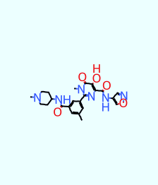 Cc1cc(C(=O)NC2CCN(C)CC2)cc(-c2nc(C(=O)Nc3cnoc3)c(O)c(=O)n2C)c1